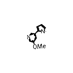 COc1cncc(C2=CC=C[N]2)c1